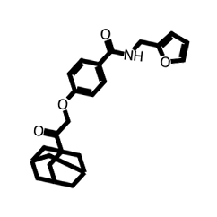 O=C(NCc1ccco1)c1ccc(OCC(=O)C23CC4CC(CC(C4)C2)C3)cc1